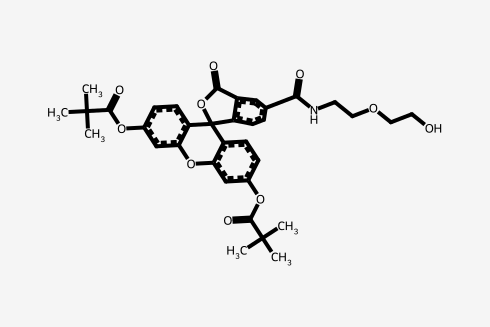 CC(C)(C)C(=O)Oc1ccc2c(c1)Oc1cc(OC(=O)C(C)(C)C)ccc1C21OC(=O)c2cc(C(=O)NCCOCCO)ccc21